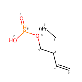 C=CCCO[PH](=O)O.CCCC